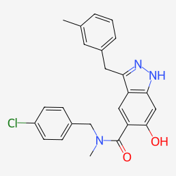 Cc1cccc(Cc2n[nH]c3cc(O)c(C(=O)N(C)Cc4ccc(Cl)cc4)cc23)c1